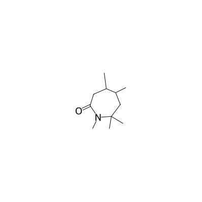 CC1CC(=O)N(C)C(C)(C)CC1C